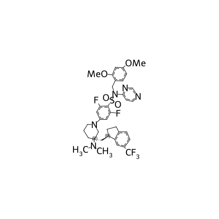 COc1ccc(CN(c2ccncn2)S(=O)(=O)c2c(F)cc(N3CCC[C@](C[C@H]4CCc5ccc(C(F)(F)F)cc54)(N(C)C)C3)cc2F)c(OC)c1